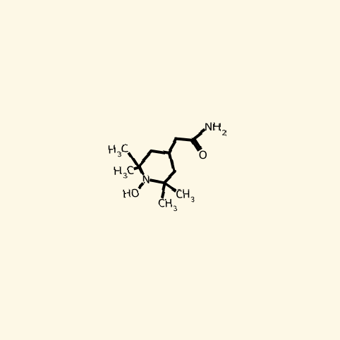 CC1(C)CC(CC(N)=O)CC(C)(C)N1O